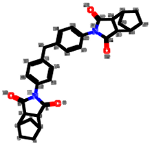 O=C1C2C3CCC(C3)C2C(=O)N1c1ccc(Cc2ccc(N3C(=O)C4C5CCC(C5)C4C3=O)cc2)cc1